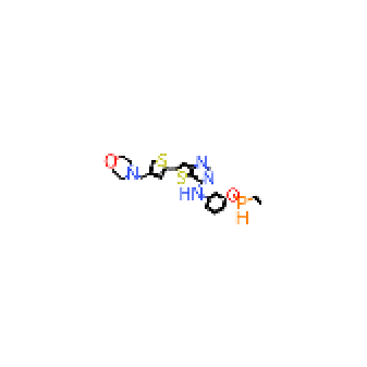 C=CPOc1cccc(Nc2ncnc3cc(-c4cc(CN5CCOCC5)cs4)sc23)c1